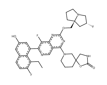 CCc1c(F)ccc2cc(O)cc(-c3ncc4c(N5CCCC6(CNC(=O)O6)C5)nc(OC[C@@]56CCCN5C[C@H](F)C6)nc4c3F)c12